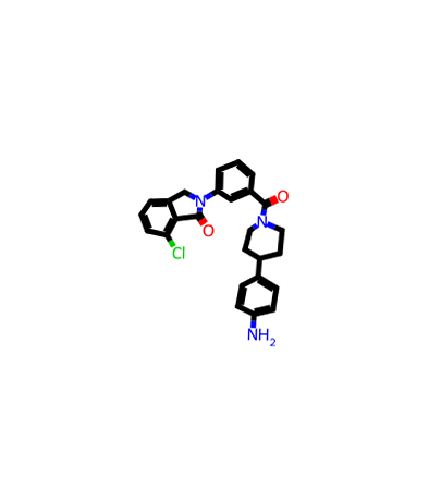 Nc1ccc(C2CCN(C(=O)c3cccc(N4Cc5cccc(Cl)c5C4=O)c3)CC2)cc1